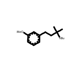 CCCCC(C)(C)CCc1cccc(OC)c1